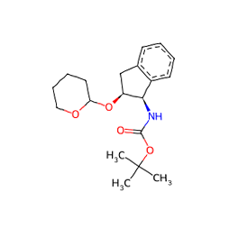 CC(C)(C)OC(=O)N[C@@H]1c2ccccc2C[C@@H]1OC1CCCCO1